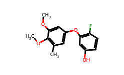 COc1cc(Oc2cc(O)ccc2F)cc(C)c1OC